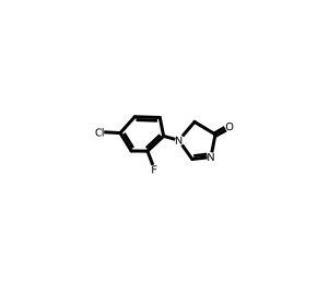 O=C1CN(c2ccc(Cl)cc2F)C=N1